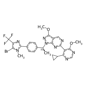 COc1ncnc(C2CC2)c1-c1ncc2c(OC)nn([C@@H](C)c3ccc(-c4nc(C(F)(F)F)c(Br)n4C)cc3)c2n1